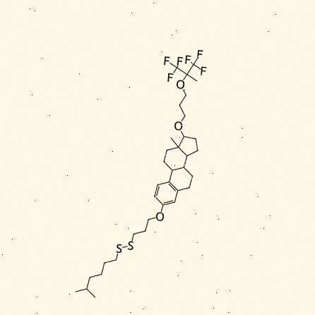 CC(C)CCCCSSCCCOc1ccc2c(c1)CCC1C2CCC2(C)C(OCCCOC(C)(C(F)(F)F)C(F)(F)F)CCC12